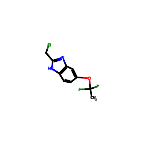 CC(F)(F)Oc1ccc2[nH]c(CCl)nc2c1